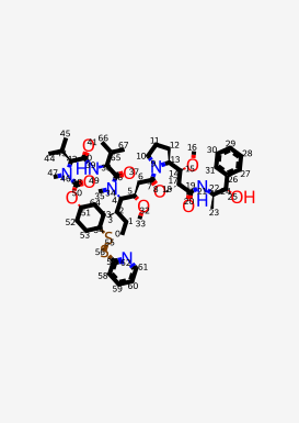 CC[C@H](C)[C@@H]([C@@H](CC(=O)N1CCC[C@H]1[C@H](OC)[C@@H](C)C(=O)N[C@H](C)[C@@H](O)c1ccccc1)OC)N(C)C(=O)[C@@H](NC(=O)[C@H](C(C)C)N(C)C(=O)O[C@H]1CC[C@H](SSc2ccccn2)CC1)C(C)C